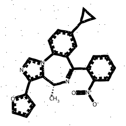 C[C@H]1N=C(c2ccccc2[N+](=O)[O-])c2cc(C3CC3)ccc2-n2cnc(-c3ccco3)c21